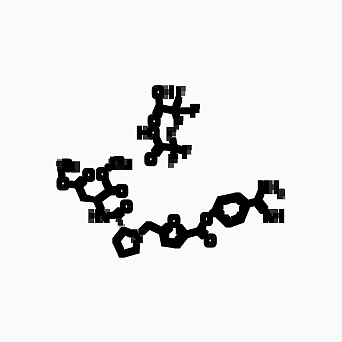 CC(C)(C)OC(=O)C[C@H](NC(=O)[C@H]1CCCN1Cc1ccc(C(=O)Oc2ccc(C(=N)N)cc2)o1)C(=O)OC(C)(C)C.O=C(O)C(F)(F)F.O=C(O)C(F)(F)F